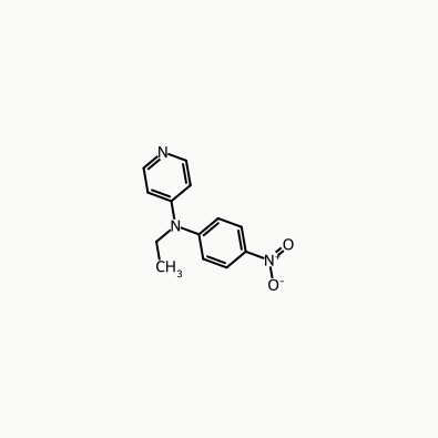 CCN(c1ccncc1)c1ccc([N+](=O)[O-])cc1